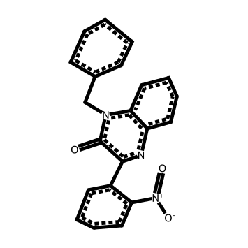 O=c1c(-c2ccccc2[N+](=O)[O-])nc2ccccc2n1Cc1ccccc1